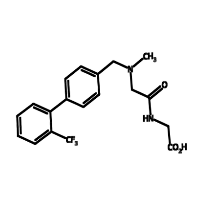 CN(CC(=O)NCC(=O)O)Cc1ccc(-c2ccccc2C(F)(F)F)cc1